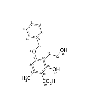 Cc1cc(OCc2ccccc2)c(CCO)c(O)c1C(=O)O